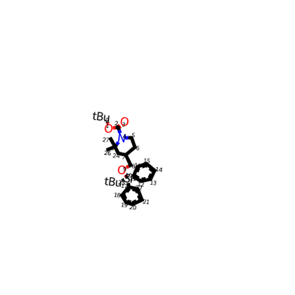 CC(C)(C)OC(=O)N1CCC(CO[Si](c2ccccc2)(c2ccccc2)C(C)(C)C)CC1(C)C